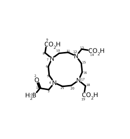 BC(=O)CN1CCN(CC(=O)O)CCN(CC(=O)O)CCN(CC(=O)O)CC1